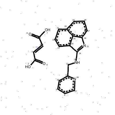 O=C(O)/C=C/C(=O)O.c1ccc(CNC2=Nc3cccc4cccc2c34)nc1